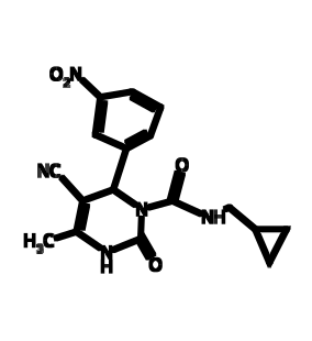 CC1=C(C#N)C(c2cccc([N+](=O)[O-])c2)N(C(=O)NCC2CC2)C(=O)N1